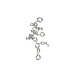 CCc1cc(OCc2ccccc2)ccc1-c1ccc2c(-c3nc4c(n3Cc3ccccc3)CN[C@H](C(=O)OCc3ccccc3)C4)n[nH]c2c1